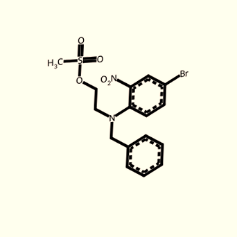 CS(=O)(=O)OCCN(Cc1ccccc1)c1ccc(Br)cc1[N+](=O)[O-]